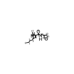 CCCCc1cc(C(=O)NCC2CCOC2)n(C)n1